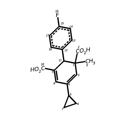 CC1(C(=O)O)C=C(C2CC2)C=C(C(=O)O)C1c1ccc(F)cc1